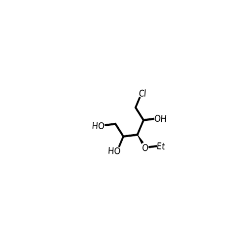 CCO[C@@H](C(O)CO)C(O)CCl